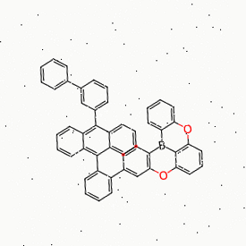 c1ccc(-c2cccc(-c3c4ccccc4c(-c4ccccc4-c4ccc5c(c4)Oc4cccc6c4B5c4ccccc4O6)c4ccccc34)c2)cc1